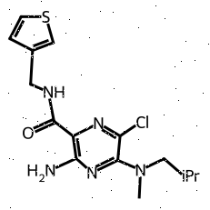 CC(C)CN(C)c1nc(N)c(C(=O)NCc2ccsc2)nc1Cl